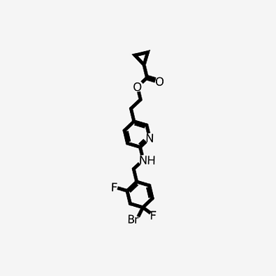 O=C(OCCc1ccc(NCC2=C(F)CC(F)(Br)C=C2)nc1)C1CC1